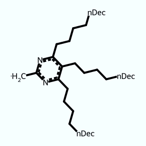 [CH2]c1nc(CCCCCCCCCCCCCC)c(CCCCCCCCCCCCCC)c(CCCCCCCCCCCCCC)n1